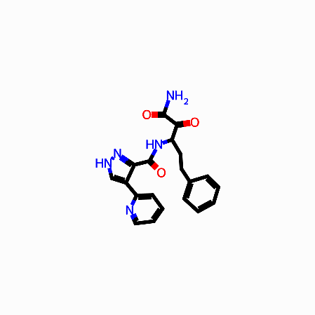 NC(=O)C(=O)C(CCc1ccccc1)NC(=O)c1n[nH]cc1-c1ccccn1